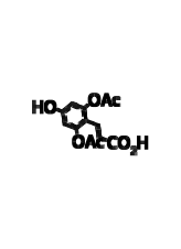 CC(=O)Oc1cc(O)cc(OC(C)=O)c1/C=C/C(=O)O